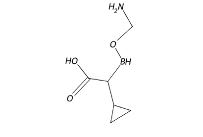 NCOBC(C(=O)O)C1CC1